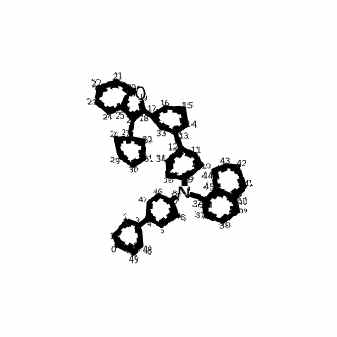 c1ccc(-c2ccc(N(c3ccc(-c4cccc(-c5oc6ccccc6c5-c5ccccc5)c4)cc3)c3cccc4ccccc34)cc2)cc1